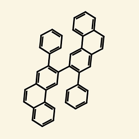 c1ccc(-c2cc3ccc4ccccc4c3cc2-c2cc3c(ccc4ccccc43)cc2-c2ccccc2)cc1